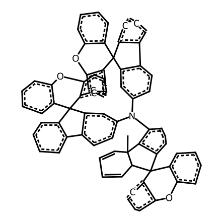 CC12C=CC=CC1C1(c3ccccc3Oc3ccccc31)c1cccc(N(c3ccc4c(c3)C3(c5ccccc5Oc5ccccc53)c3ccccc3-4)c3ccc4c(c3)C3(c5ccccc5Oc5ccccc53)c3ccccc3-4)c12